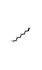 C=CCCCCCCCl